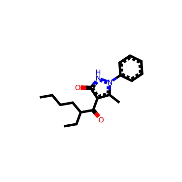 CCCCC(CC)C(=O)c1c(C)n(-c2ccccc2)[nH]c1=O